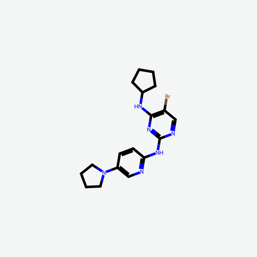 Brc1cnc(Nc2ccc(N3CCCC3)cn2)nc1NC1CCCC1